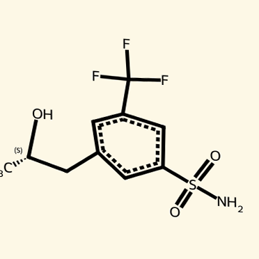 C[C@H](O)Cc1cc(C(F)(F)F)cc(S(N)(=O)=O)c1